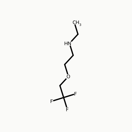 CCNCCOCC(F)(F)F